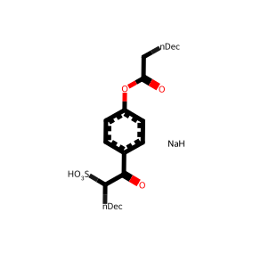 CCCCCCCCCCCC(=O)Oc1ccc(C(=O)C(CCCCCCCCCC)S(=O)(=O)O)cc1.[NaH]